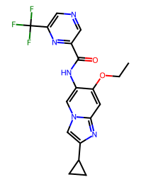 CCOc1cc2nc(C3CC3)cn2cc1NC(=O)c1cncc(C(F)(F)F)n1